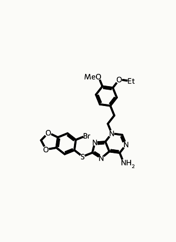 CCOc1cc(CCn2cnc(N)c3nc(Sc4cc5c(cc4Br)OCO5)nc2-3)ccc1OC